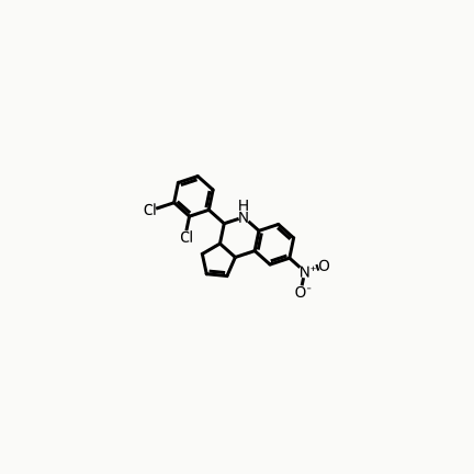 O=[N+]([O-])c1ccc2c(c1)C1C=CCC1C(c1cccc(Cl)c1Cl)N2